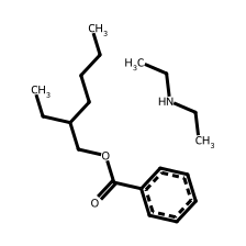 CCCCC(CC)COC(=O)c1ccccc1.CCNCC